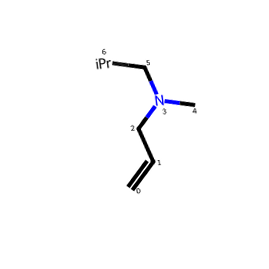 C=CCN(C)CC(C)C